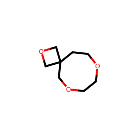 C1COCC2(CCO1)COC2